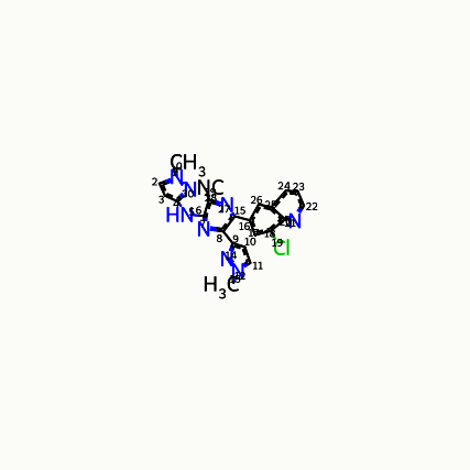 Cn1ccc(Nc2nc(-c3ccn(C)n3)c(-c3cc(Cl)c4ncccc4c3)nc2C#N)n1